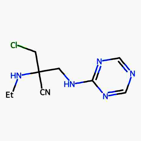 CCNC(C#N)(CCl)CNc1ncncn1